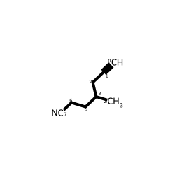 C#CCC(C)CCC#N